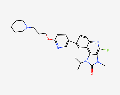 CC(C)n1c(=O)n(C)c2c(F)nc3ccc(-c4ccc(OCCCN5CCCCC5)nc4)cc3c21